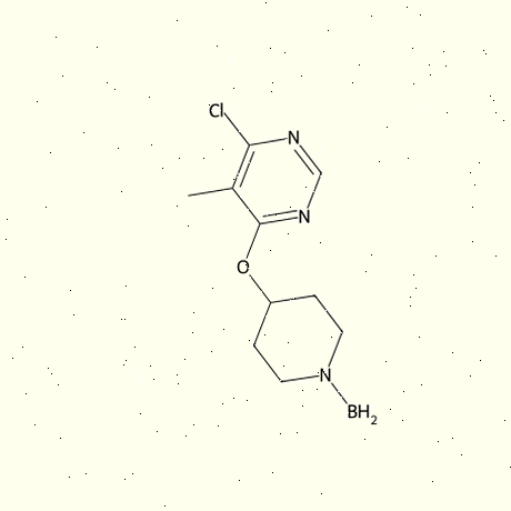 BN1CCC(Oc2ncnc(Cl)c2C)CC1